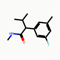 CNC(=O)C(c1cc(C)cc(F)c1)C(C)C